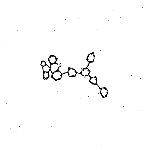 c1ccc(-c2ccc(-c3cc(-c4ccccc4)nc(-c4ccc(-c5cccc6c5Sc5ccccc5C65c6ccccc6-c6ccccc65)cc4)n3)cc2)cc1